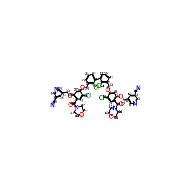 N#Cc1cncc(COc2cc(OCc3cccc(-c4cccc(COc5cc(OCc6cncc(C#N)c6)c(C(=O)N6CCOCC6)cc5Cl)c4Cl)c3Cl)c(Cl)cc2C(=O)N2CCOCC2)c1